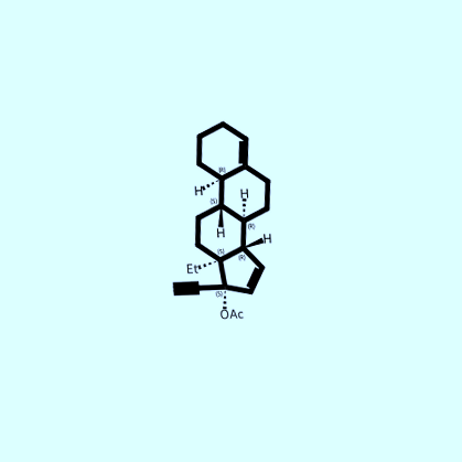 C#C[C@]1(OC(C)=O)C=C[C@H]2[C@@H]3CCC4=CCCC[C@@H]4[C@H]3CC[C@@]21CC